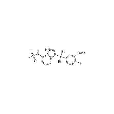 CCC(CC)(c1ccc(F)c(OC)c1)c1c[nH]c2c(NS(C)(=O)=O)cccc12